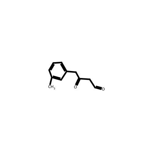 Cc1cccc(CC(=O)CC=O)c1